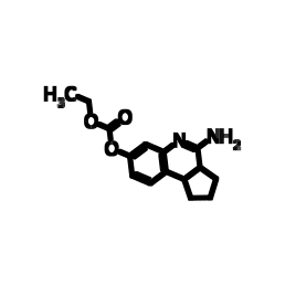 CCOC(=O)Oc1ccc2c(c1)N=C(N)C1CCCC21